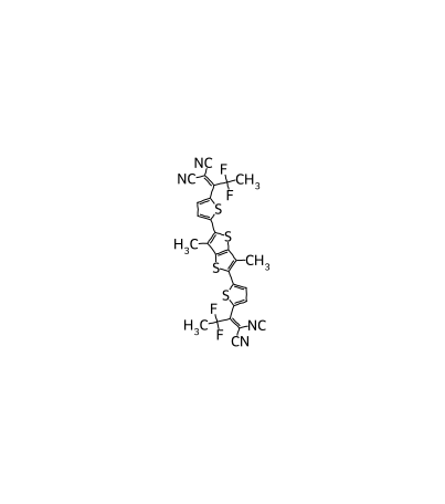 [C-]#[N+]/C(C#N)=C(\c1ccc(-c2sc3c(C)c(-c4ccc(/C(=C(\C#N)[N+]#[C-])C(C)(F)F)s4)sc3c2C)s1)C(C)(F)F